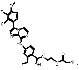 CCc1cc(Nc2nccn3c(-c4ccc(OC)c(F)c4Cl)cnc23)ccc1C(O)NCCNC(=O)CN